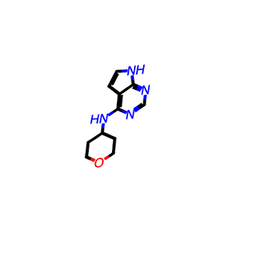 c1nc(NC2CCOCC2)c2cc[nH]c2n1